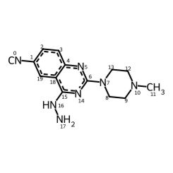 [C-]#[N+]c1ccc2nc(N3CCN(C)CC3)nc(NN)c2c1